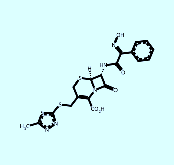 Cc1nnc(SCC2=C(C(=O)O)N3C(=O)[C@@H](NC(=O)C(=NO)c4ccccc4)[C@@H]3SC2)s1